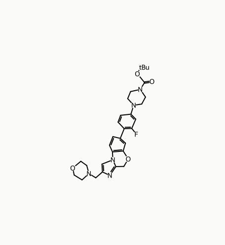 CC(C)(C)OC(=O)N1CCN(c2ccc(-c3ccc4c(c3)OCc3nc(CN5CCOCC5)cn3-4)c(F)c2)CC1